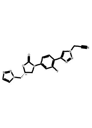 N#CCn1cc(-c2ccc(N3C[C@H](Cn4ccnn4)OC3=O)cc2F)nn1